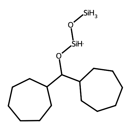 [SiH3]O[SiH]OC(C1CCCCCC1)C1CCCCCC1